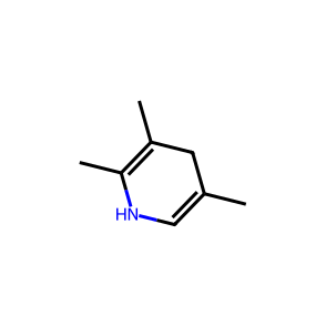 CC1=CNC(C)=C(C)C1